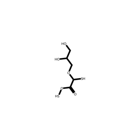 O=C(OS)C(S)OCC(O)CO